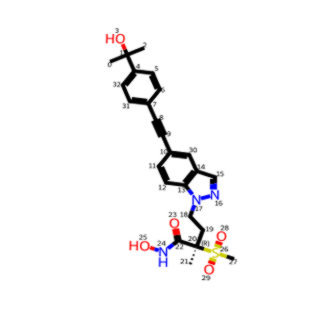 CC(C)(O)c1ccc(C#Cc2ccc3c(cnn3CC[C@](C)(C(=O)NO)S(C)(=O)=O)c2)cc1